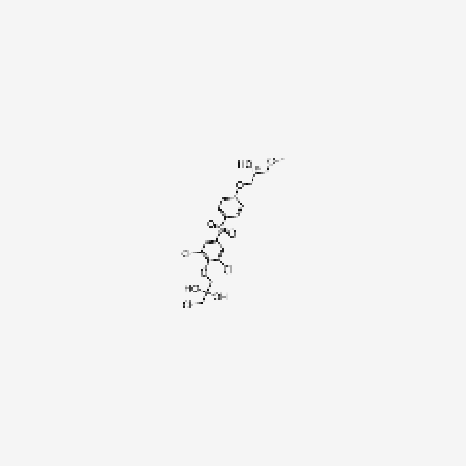 COC[C@@H](O)COc1ccc(S(=O)(=O)c2cc(Cl)c(OCC(O)(O)CCl)c(Cl)c2)cc1